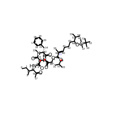 CCC(C)[C@H](NC(=O)CN(C)C(=O)[C@@H](Cc1ccccc1)N(C)C(=O)[C@H](C)NC(=O)[C@@H](CC(C)C)OC(=O)/C(C)=C/CCCC(O[Si](C)(C)C(C)(C)C)C(C)C)C(C)=O